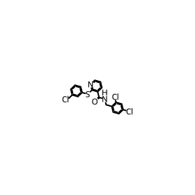 O=C(NCc1ccc(Cl)cc1Cl)c1cccnc1Sc1cccc(Cl)c1